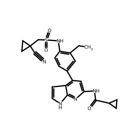 CCc1cc(-c2cc(NC(=O)C3CC3)nc3[nH]ccc23)ccc1NS(=O)(=O)CC1(C#N)CC1